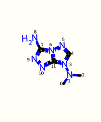 CN(C)n1cnn2c(N)nnc12